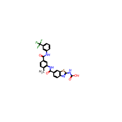 Cc1ccc(C(=O)Nc2cccc(C(F)(F)F)c2)cc1NC(=O)c1ccc2nc(NC(=O)O)sc2c1